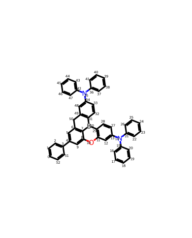 c1ccc(-c2cc3c4c(c2)Oc2cc(N(c5ccccc5)c5ccccc5)ccc2B4c2ccc(N(c4ccccc4)c4ccccc4)cc2C3)cc1